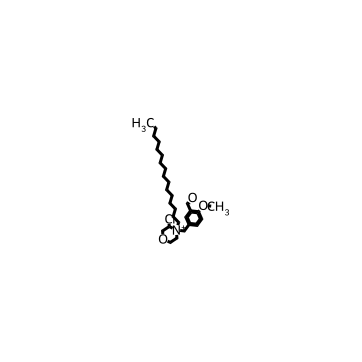 CCCCCCCCCCCCCCCC[N+]1(Cc2ccc(OC)c(C=O)c2)CCOCC1Cl